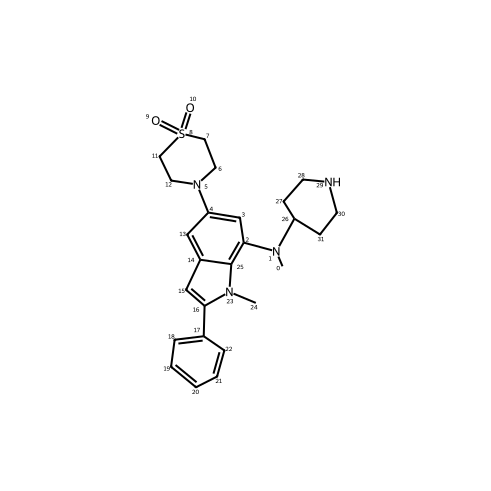 CN(c1cc(N2CCS(=O)(=O)CC2)cc2cc(-c3ccccc3)n(C)c12)C1CCNCC1